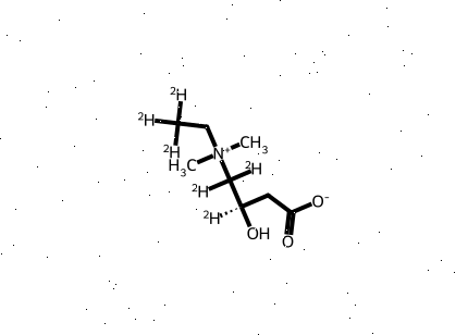 [2H]C([2H])([2H])C[N+](C)(C)C([2H])([2H])[C@]([2H])(O)CC(=O)[O-]